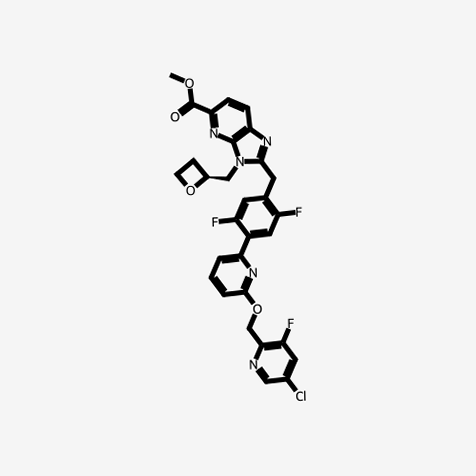 COC(=O)c1ccc2nc(Cc3cc(F)c(-c4cccc(OCc5ncc(Cl)cc5F)n4)cc3F)n(C[C@@H]3CCO3)c2n1